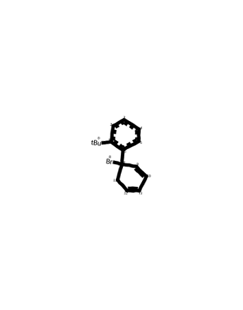 CC(C)(C)c1ccccc1C1(Br)C=CC=CC1